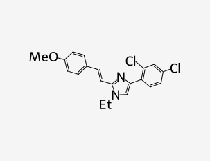 CCn1cc(-c2ccc(Cl)cc2Cl)nc1C=Cc1ccc(OC)cc1